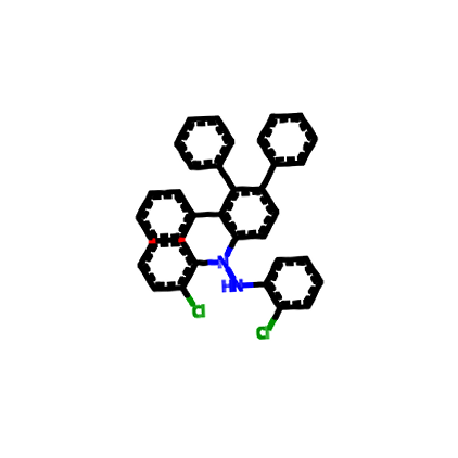 Clc1ccccc1NN(c1ccccc1Cl)c1ccc(-c2ccccc2)c(-c2ccccc2)c1-c1ccccc1